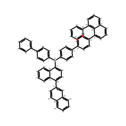 c1ccc(-c2ccc(N(c3ccc(-c4ccc(-c5cccc6cccc(-c7ccccc7)c56)cc4)cc3)c3ccc(-c4ccc5ccccc5c4)c4ccccc34)cc2)cc1